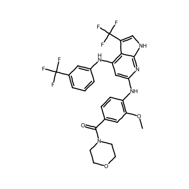 COc1cc(C(=O)N2CCOCC2)ccc1Nc1cc(Nc2cccc(C(F)(F)F)c2)c2c(C(F)(F)F)c[nH]c2n1